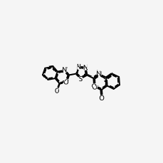 O=c1oc(-c2nnc(-c3nc4ccccc4c(=O)o3)s2)nc2ccccc12